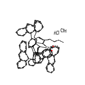 CCCCC1=Cc2c(-c3c4ccccc4cc4ccccc34)ccc(-c3c4ccccc4cc4ccccc34)c2[CH]1[Zr]([CH3])([CH3])(=[SiH2])[CH]1C(CCCC)=Cc2c(-c3c4ccccc4cc4ccccc34)ccc(-c3c4ccccc4cc4ccccc34)c21.Cl.Cl